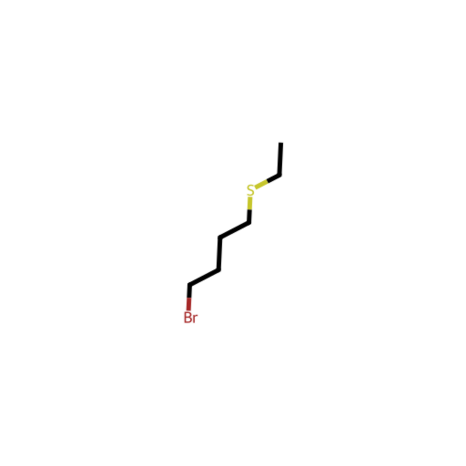 CCSCCCCBr